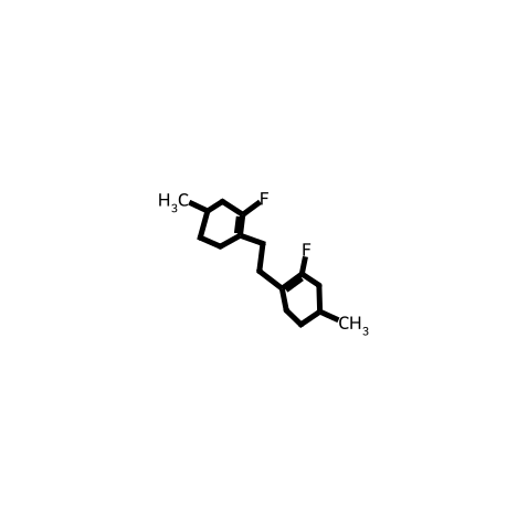 CC1CCC(CCC2=C(F)CC(C)CC2)=C(F)C1